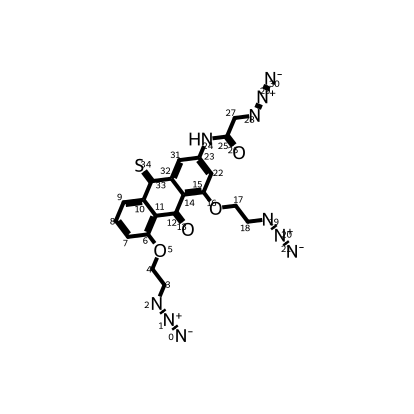 [N-]=[N+]=NCCOc1cccc2c1C(=O)c1c(OCCN=[N+]=[N-])cc(NC(=O)CN=[N+]=[N-])cc1C2=S